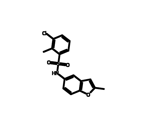 Cc1cc2cc(NS(=O)(=O)c3cccc(Cl)c3C)ccc2o1